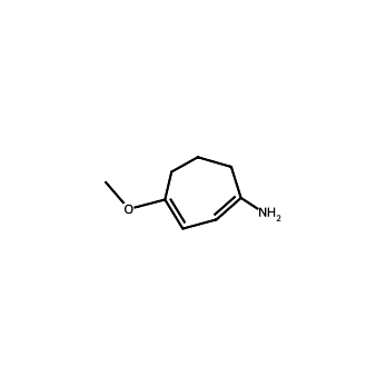 COC1=CC=C(N)CCC1